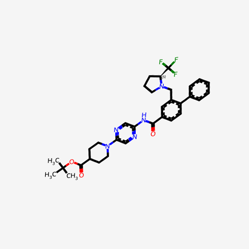 CC(C)(C)OC(=O)C1CCN(c2cnc(NC(=O)c3ccc(-c4ccccc4)c(CN4CCC[C@H]4C(F)(F)F)c3)cn2)CC1